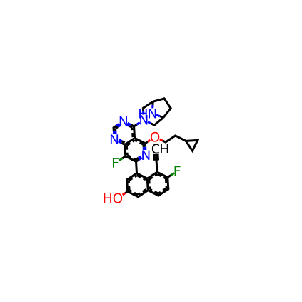 C#Cc1c(F)ccc2cc(O)cc(-c3nc(OCCC4CC4)c4c(N5CC6CCC(C5)N6)ncnc4c3F)c12